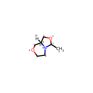 CC1OC[C@H]2COCCN12